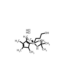 Cl.Cl.[CH2]=[Zr]([CH3])([CH2]CCO)([NH]C(C)(C)C)[C]1=C(C)C(C)=C(C)C1C